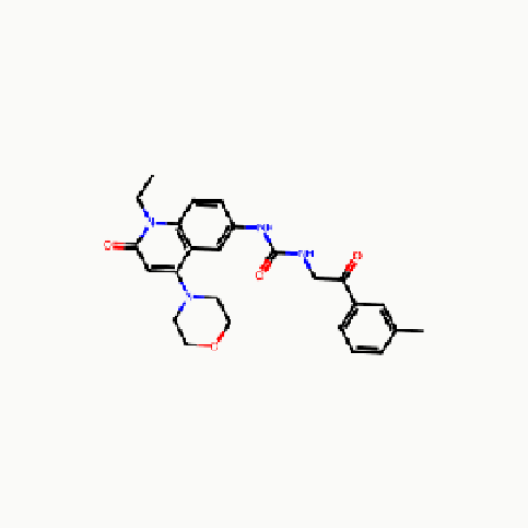 CCn1c(=O)cc(N2CCOCC2)c2cc(NC(=O)NCC(=O)c3cccc(C)c3)ccc21